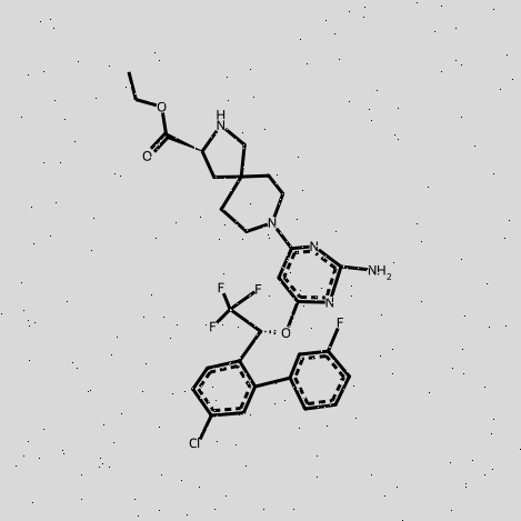 CCOC(=O)[C@@H]1CC2(CCN(c3cc(O[C@H](c4ccc(Cl)cc4-c4cccc(F)c4)C(F)(F)F)nc(N)n3)CC2)CN1